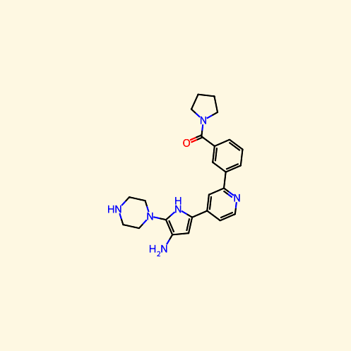 Nc1cc(-c2ccnc(-c3cccc(C(=O)N4CCCC4)c3)c2)[nH]c1N1CCNCC1